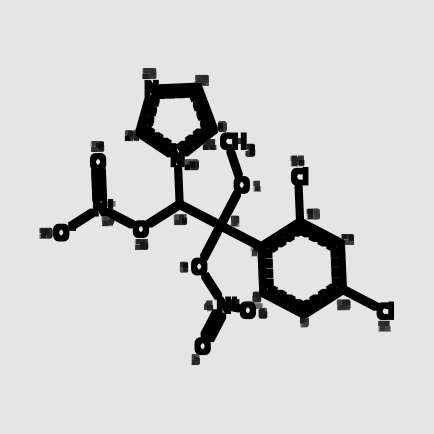 COC(O[N+](=O)[O-])(c1ccc(Cl)cc1Cl)C(O[N+](=O)[O-])n1ccnc1